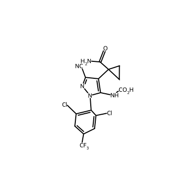 N#Cc1nn(-c2c(Cl)cc(C(F)(F)F)cc2Cl)c(NC(=O)O)c1C1(C(N)=O)CC1